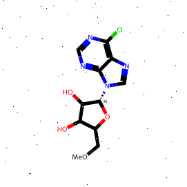 COCC1O[C@@H](n2cnc3c(Cl)ncnc32)C(O)C1O